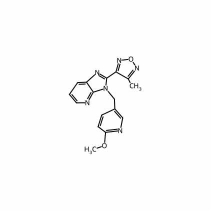 COc1ccc(Cn2c(-c3nonc3C)nc3cccnc32)cn1